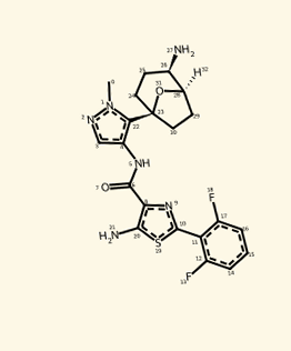 Cn1ncc(NC(=O)c2nc(-c3c(F)cccc3F)sc2N)c1[C@]12CC[C@@H](N)[C@@H](CC1)O2